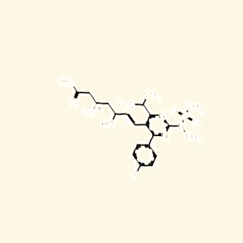 CC(C)c1nc(N(C)S(C)(=O)=O)nc(-c2ccc(F)cc2)c1/C=C/C(O)C[C@@H](O)CC(=O)O